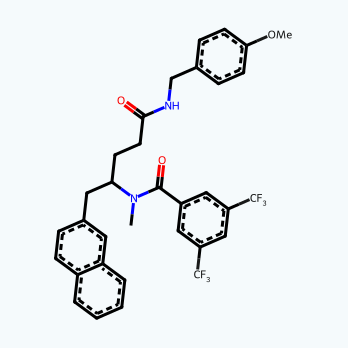 COc1ccc(CNC(=O)CCC(Cc2ccc3ccccc3c2)N(C)C(=O)c2cc(C(F)(F)F)cc(C(F)(F)F)c2)cc1